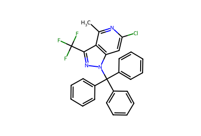 Cc1nc(Cl)cc2c1c(C(F)(F)F)nn2C(c1ccccc1)(c1ccccc1)c1ccccc1